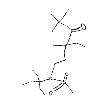 CC(C)(C)C(=O)C(C)(C)CCN(C(C)(C)C)S(C)(=O)=O